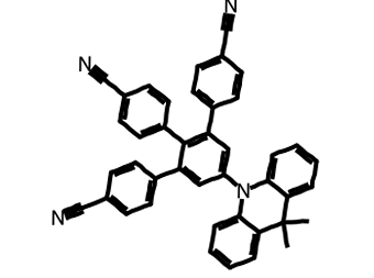 CC1(C)c2ccccc2N(c2cc(-c3ccc(C#N)cc3)c(-c3ccc(C#N)cc3)c(-c3ccc(C#N)cc3)c2)c2ccccc21